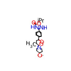 CC(C)OC(=O)NC(=N)c1ccc(C(=O)CC(C)C(=O)N2CCC([O])CC2)cc1